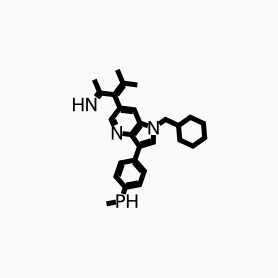 CPc1ccc(-c2cn(CC3CCCCC3)c3cc(C(C(C)=N)=C(C)C)cnc23)cc1